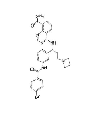 NC(=O)c1cccc2c(NC(CCN3CCC3)c3cccc(NC(=O)c4ccc(Br)cc4)c3)ncnc12